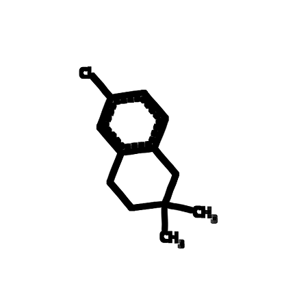 CC1(C)CCc2cc(Cl)ccc2C1